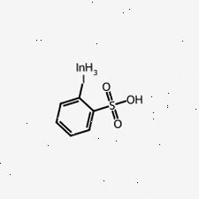 O=S(=O)(O)c1ccccc1I.[InH3]